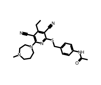 CCc1c(C#N)c(SCc2ccc(NC(C)=O)cc2)nc(N2CCCN(C)CC2)c1C#N